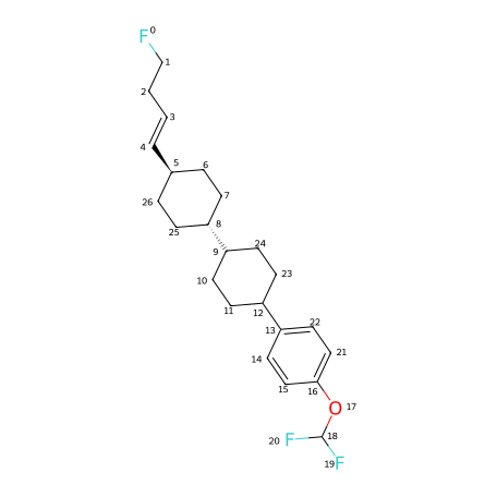 FCC/C=C/[C@H]1CC[C@H](C2CCC(c3ccc(OC(F)F)cc3)CC2)CC1